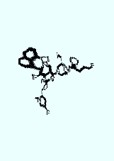 CN1C[C@H](F)C[C@H]1COc1nc(N2CCN(C(=O)/C=C/CF)[C@@H](CI)C2)c2cnc(-c3cccc4cccc(Cl)c34)c(F)c2n1